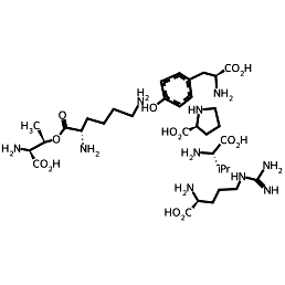 CC(C)[C@H](N)C(=O)O.C[C@@H](OC(=O)[C@@H](N)CCCCN)[C@H](N)C(=O)O.N=C(N)NCCC[C@H](N)C(=O)O.N[C@@H](Cc1ccc(O)cc1)C(=O)O.O=C(O)[C@@H]1CCCN1